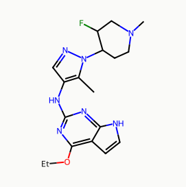 CCOc1nc(Nc2cnn(C3CCN(C)CC3F)c2C)nc2[nH]ccc12